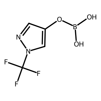 OB(O)Oc1cnn(C(F)(F)F)c1